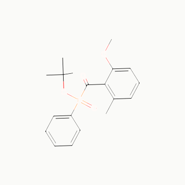 COc1cccc(C)c1C(=O)P(=O)(OC(C)(C)C)c1ccccc1